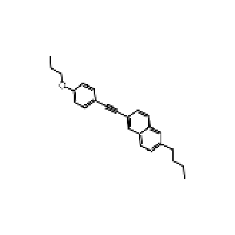 CCCCc1ccc2cc(C#Cc3ccc(OCCC)cc3)ccc2c1